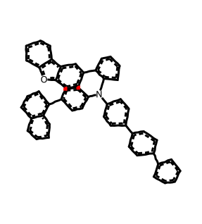 c1ccc(-c2ccc(-c3ccc(N(c4ccc(-c5cccc6ccccc56)cc4)c4ccccc4-c4ccc5oc6ccccc6c5c4)cc3)cc2)cc1